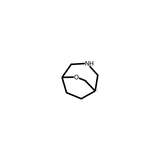 C1CC2CNC[C]1CO2